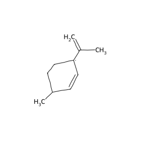 C=C(C)[C]1C=CC(C)CC1